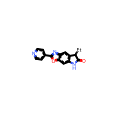 CCC1C(=O)Nc2cc3oc(-c4ccncc4)nc3cc21